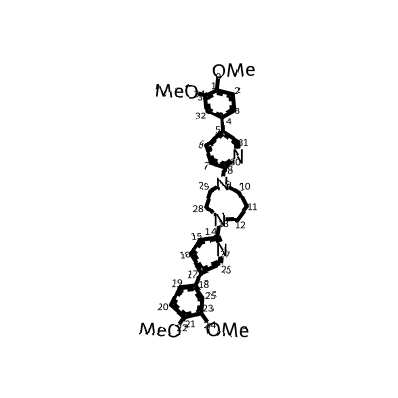 COc1ccc(-c2ccc(N3CCCN(c4ccc(-c5ccc(OC)c(OC)c5)cn4)CC3)nc2)cc1OC